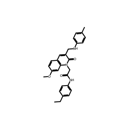 CCc1ccc(NC(=O)Cn2c(=O)c(CNc3ccc(C)cc3)cc3ccc(OC)cc32)cc1